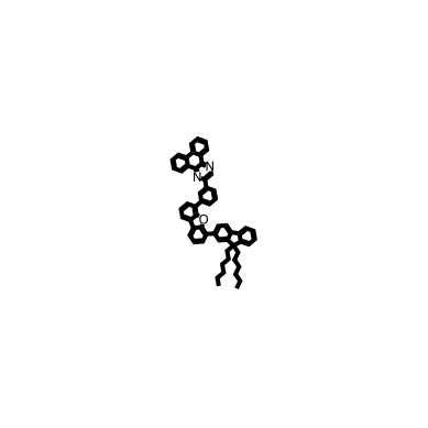 CCCCCCC1(CCCCCC)c2ccccc2-c2ccc(-c3cccc4c3oc3c(-c5cccc(-c6cnc7c8ccccc8c8ccccc8c7n6)c5)cccc34)cc21